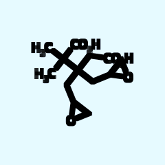 CC(C)(C(=O)O)C(CC(=O)O)(CC1CO1)CC1CO1